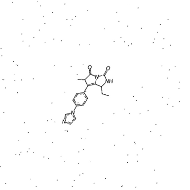 CCC1NC(=O)N2C(=O)C(C)C(c3ccc(-n4ccnc4)cc3)=C12